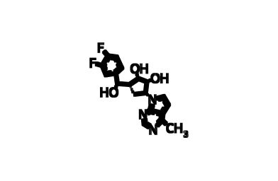 Cc1ncnc2c1ccn2[C@@H]1C[C@H]([C@@H](O)c2ccc(F)c(F)c2)[C@@H](O)[C@H]1O